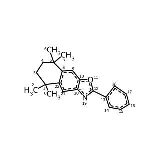 CC1(C)CCC(C)(C)c2cc3oc(-c4ccccc4)nc3cc21